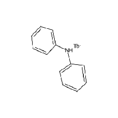 [Tb].c1ccc(Nc2ccccc2)cc1